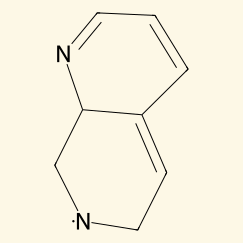 C1=CC2=CC[N]CC2N=C1